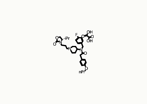 CCCOc1ccc(CC(=O)N(Cc2ccc(F)cc2)C2CCN(CCCN3C(=O)OC[C@@H]3C(C)C)CC2)cc1.O=C(O)C(=O)O